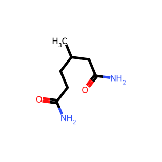 CC(CCC(N)=O)CC(N)=O